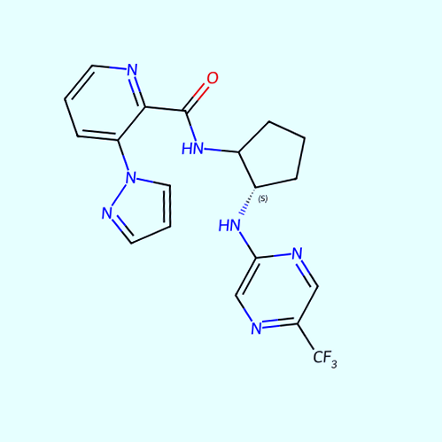 O=C(NC1CCC[C@@H]1Nc1cnc(C(F)(F)F)cn1)c1ncccc1-n1cccn1